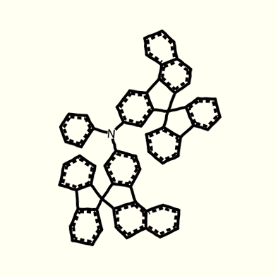 c1ccc(N(c2ccc3c(c2)C2(c4ccccc4-c4ccccc42)c2ccc4ccccc4c2-3)c2ccc3c(c2)C2(c4ccccc4-c4ccccc42)c2ccc4ccccc4c2-3)cc1